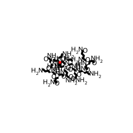 CC(=O)[C@H](CCC(N)=O)NC(=O)[C@H](CCC(N)=O)NC(=O)[C@H](CCCCN)NC(=O)[C@H](CCC(N)=O)NC(=O)[C@H](CCCN)NC(=O)[C@H](CCC(N)=O)NC(=O)[C@H](CCCN)NC(=O)[C@H](CCC(N)=O)NC(=O)[C@H](CCCN)NC(=O)[C@H](CCC(N)=O)NC(=O)[C@@H](N)CCC(N)=O